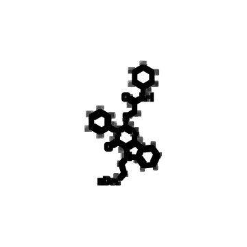 CCCCCCCCCCCCn1c2ccccc2c2nc(SCC(=O)NC3CCCCC3)n(-c3ccccc3)c(=O)c21